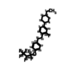 CCC1CCC(c2ccc(CCc3ccc(OC(F)(F)C(F)C(F)(F)F)cc3)c(F)c2)CC1